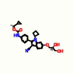 C[C@@H](OC(=O)Nc1ccc(-c2c(C#N)c3ccc(OC[C@@H](O)CO)cc3n2C2CCC2)cc1)C1CC1